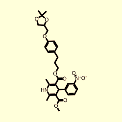 COC(=O)C1=C(C)NC(C)=C(C(=O)OCCCc2ccc(OCC3COC(C)(C)O3)cc2)C1c1cccc([N+](=O)[O-])c1